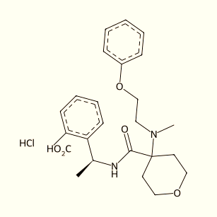 C[C@H](NC(=O)C1(N(C)CCOc2ccccc2)CCOCC1)c1ccccc1C(=O)O.Cl